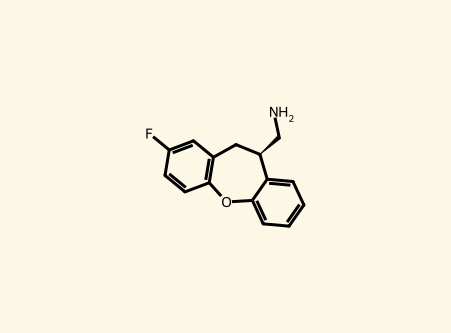 NC[C@@H]1Cc2cc(F)ccc2Oc2ccccc21